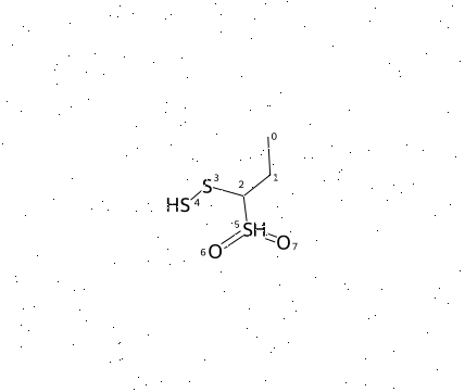 CCC(SS)[SH](=O)=O